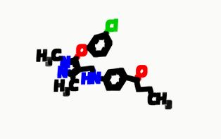 CCCC(=O)c1ccc(NCc2c(C)nn(C)c2Oc2cccc(Cl)c2)cc1